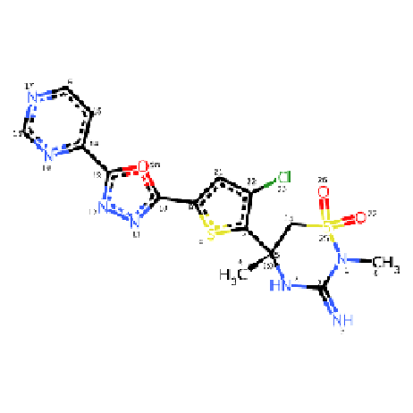 CN1C(=N)N[C@](C)(c2sc(-c3nnc(-c4ccncn4)o3)cc2Cl)CS1(=O)=O